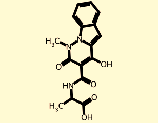 CC(NC(=O)c1c(O)c2cc3ccccc3n2n(C)c1=O)C(=O)O